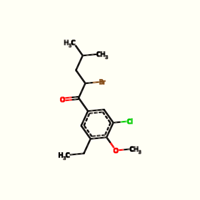 CCc1cc(C(=O)C(Br)CC(C)C)cc(Cl)c1OC